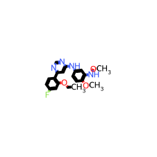 CCOc1cc(F)ccc1-c1cc(Nc2ccc(OC)c(NOC)c2)ncn1